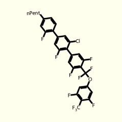 CCCCCc1ccc(-c2cc(F)c(-c3cc(F)c(C(F)(F)Oc4cc(F)c(C(F)(F)F)c(F)c4)c(F)c3)c(Cl)c2)c(F)c1